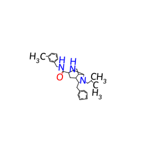 Cc1cccc(CNC(=O)C23CC4C(CN2)C(C3)N(CC(C)C)C4Cc2ccccc2)c1